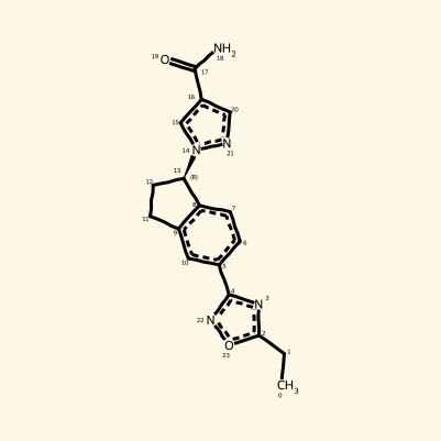 CCc1nc(-c2ccc3c(c2)CC[C@H]3n2cc(C(N)=O)cn2)no1